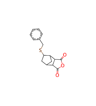 O=C1OC(=O)C2C3CC(CC3SCc3ccccc3)C12